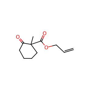 C=CCOC(=O)C1(C)CCCCC1=O